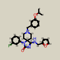 CC(C)Oc1cccc(CN2CCC3(CC2)C(NCc2ccco2)=NC(=O)N3c2cccc(F)c2)c1